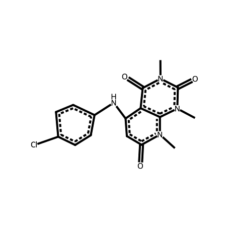 Cn1c(=O)c2c(Nc3ccc(Cl)cc3)cc(=O)n(C)c2n(C)c1=O